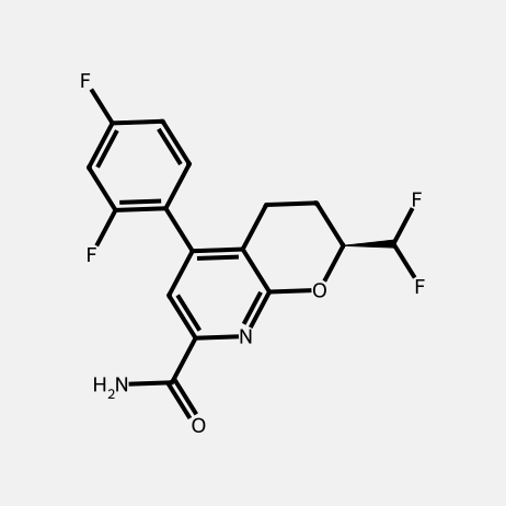 NC(=O)c1cc(-c2ccc(F)cc2F)c2c(n1)O[C@H](C(F)F)CC2